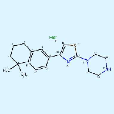 Br.CC1(C)CCCc2cc(-c3csc(N4CCNCC4)n3)ccc21